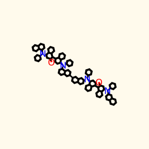 c1ccc(N(c2ccc3ccccc3c2)c2cc3oc4cc(N(c5ccccc5)c5ccc6ccc(-c7ccc8c(N(c9ccccc9)c9cc%10oc%11cc(N(c%12ccccc%12)c%12cccc%13ccccc%12%13)c%12ccccc%12c%11c%10c%10ccccc9%10)cccc8c7)cc6c5)c5ccccc5c4c3c3ccccc23)cc1